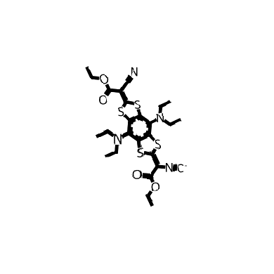 [C-]#[N+]C(C(=O)OCC)=C1Sc2c(c(N(CC)CC)c3c(c2N(CC)CC)SC(=C(C#N)C(=O)OCC)S3)S1